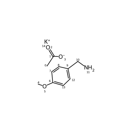 CC(=O)[O-].COc1ccc(CN)cc1.[K+]